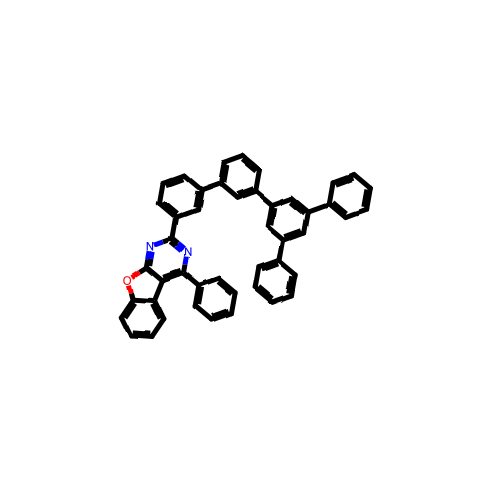 c1ccc(-c2cc(-c3ccccc3)cc(-c3cccc(-c4cccc(-c5nc(-c6ccccc6)c6c(n5)oc5ccccc56)c4)c3)c2)cc1